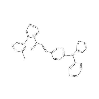 O=C(/C=C/c1ccc(N(c2ccccc2)c2ccccc2)cc1)c1ccccc1-c1cccc(F)c1